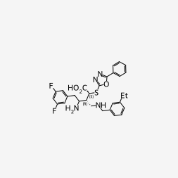 CCc1cccc(CNC[C@H](C(N)Cc2cc(F)cc(F)c2)[C@H](Sc2nnc(-c3ccccc3)o2)C(=O)O)c1